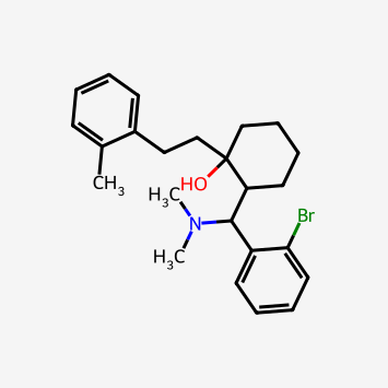 Cc1ccccc1CCC1(O)CCCCC1C(c1ccccc1Br)N(C)C